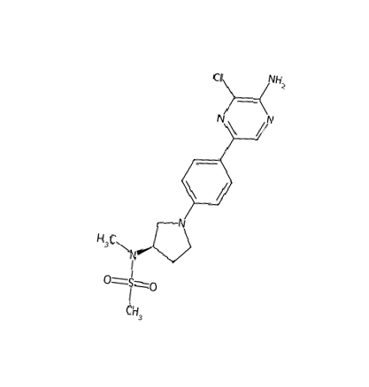 CN([C@@H]1CCN(c2ccc(-c3cnc(N)c(Cl)n3)cc2)C1)S(C)(=O)=O